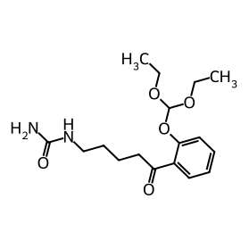 CCOC(OCC)Oc1ccccc1C(=O)CCCCNC(N)=O